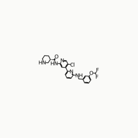 O=C(Nc1cc(-c2cccc(NCc3cccc(OC(F)F)c3)n2)c(Cl)cn1)[C@@H]1CCCNC1